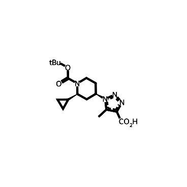 Cc1c(C(=O)O)nnn1[C@@H]1CCN(C(=O)OC(C)(C)C)[C@H](C2CC2)C1